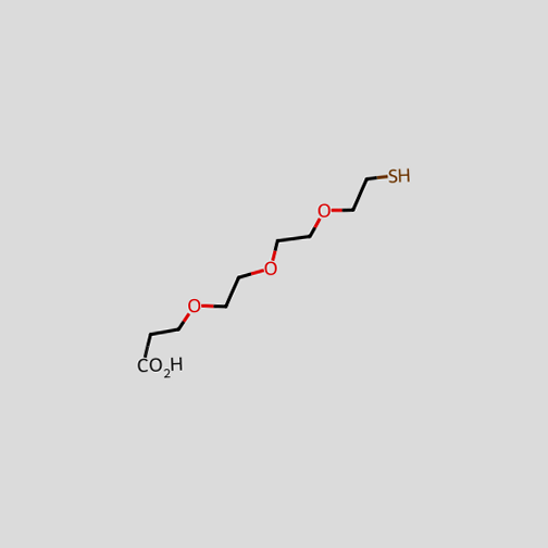 O=C(O)CCOCCOCCOCCS